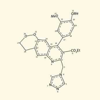 CCOC(=O)c1c(Cn2cnnc2)nc2cc3c(cc2c1-c1ccc(OC)c(OC)c1)OOCC3